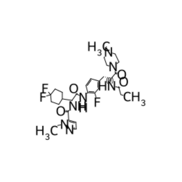 CCC(=O)N[C@H](Cc1ccc(NC(=O)C(NC(=O)c2ccnn2CC)C2CCC(F)(F)CC2)c(F)c1)C(=O)N1CCN(C)CC1